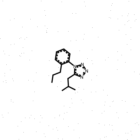 CCCc1ccccc1-n1nnnc1CC(C)C